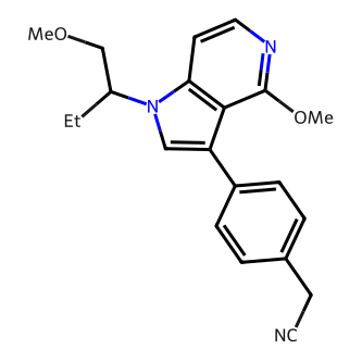 CCC(COC)n1cc(-c2ccc(CC#N)cc2)c2c(OC)nccc21